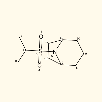 CC(C)S(=O)(=O)N1C2C[CH]CC1CC2